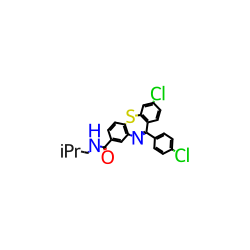 CC(C)CNC(=O)c1ccc2c(c1)N=C(c1ccc(Cl)cc1)c1ccc(Cl)cc1S2